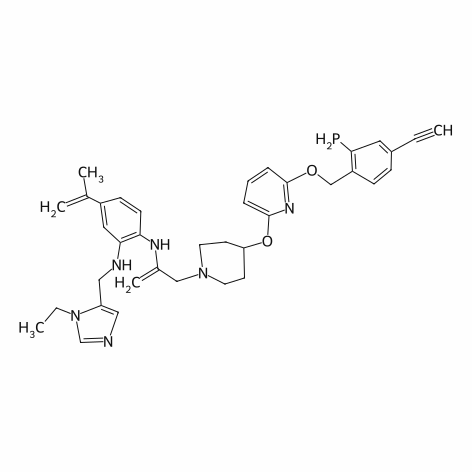 C#Cc1ccc(COc2cccc(OC3CCN(CC(=C)Nc4ccc(C(=C)C)cc4NCc4cncn4CC)CC3)n2)c(P)c1